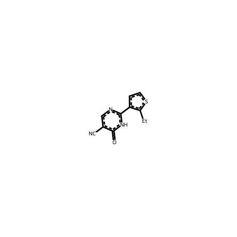 CCc1sccc1-c1ncc(C#N)c(=O)[nH]1